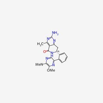 CNc1ncc(-c2ccccc2[C@H]2Cc3nc(N)nc(C)c3C(=O)N2)nc1OC